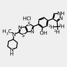 Cl.[2H]C([2H])([2H])c1n[nH]cc1-c1ccc(-c2nc3sc(N(C)C4CCNCC4)nc3s2)c(O)c1